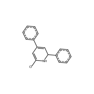 ClC1=CC(c2ccccc2)=CC(c2ccccc2)N1